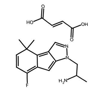 CC(N)Cn1ncc2c1=CC1=C(F)C=CC(C)(C)C=21.O=C(O)C=CC(=O)O